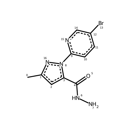 Cc1cc(C(=O)NN)n(-c2ccc(Br)cn2)n1